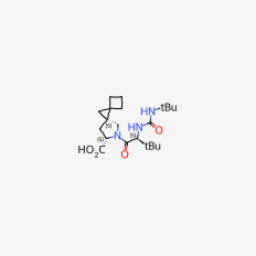 CC(C)(C)NC(=O)N[C@H](C(=O)N1C[C@]2(C[C@H]1C(=O)O)CC21CCC1)C(C)(C)C